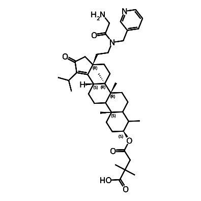 CC(C)C1=C2[C@H]3CCC4[C@@]5(C)CC[C@H](OC(=O)CC(C)(C)C(=O)O)C(C)C5CC[C@@]4(C)[C@]3(C)CC[C@@]2(CCN(Cc2cccnc2)C(=O)CN)CC1=O